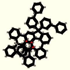 c1ccc(-c2cccc(C3(c4cccc(-c5ccccc5)c4)c4cccc5c4-c4c3cc(-c3ccccc3N(c3ccccc3)c3cccc6c3sc3ccccc36)c3c6ccccc6n(c43)-c3ccccc3-5)c2)cc1